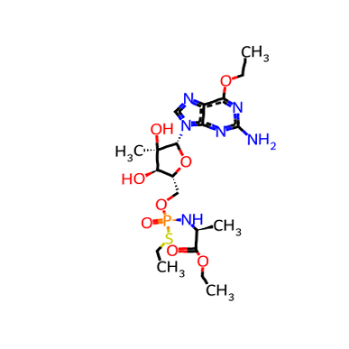 CCOC(=O)[C@H](C)N[P@@](=O)(OC[C@H]1O[C@@H](n2cnc3c(OCC)nc(N)nc32)[C@](C)(O)[C@@H]1O)SCC